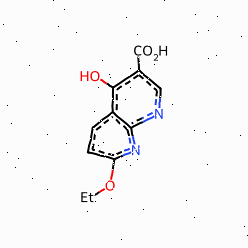 CCOc1ccc2c(O)c(C(=O)O)cnc2n1